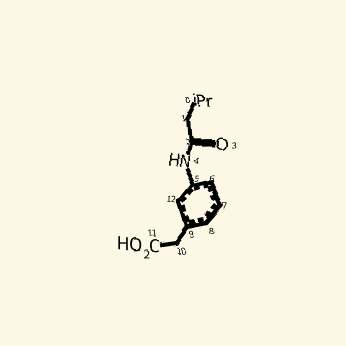 CC(C)CC(=O)Nc1cccc(CC(=O)O)c1